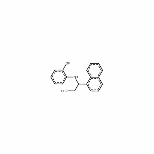 O=CCC(Nc1c[c]ccc1O)c1cccc2ccccc12